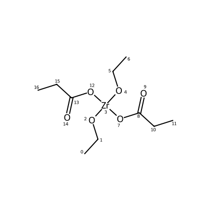 CC[O][Zr]([O]CC)([O]C(=O)CC)[O]C(=O)CC